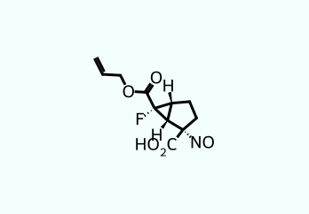 C=CCOC(=O)[C@@]1(F)[C@@H]2CC[C@@](N=O)(C(=O)O)[C@@H]21